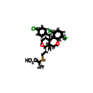 CC(C)C(SCC[C@@H]1OCC[C@@]2(Cc3ccc(Cl)cc3)c3c(F)ccc(F)c3OC[C@@H]12)C(=O)O